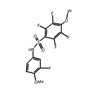 COc1ccc(NS(=O)(=O)c2c(F)c(F)c(OC(C)C)c(F)c2F)cc1F